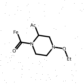 CCON1CCN([C](=O)[Fe])C(C(C)=O)C1